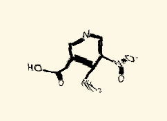 Nc1c(C(=O)O)cncc1[N+](=O)[O-]